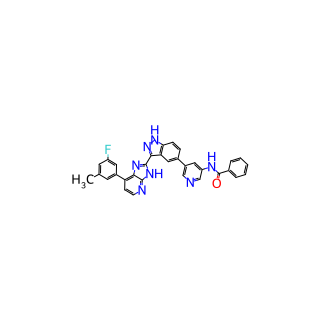 Cc1cc(F)cc(-c2ccnc3[nH]c(-c4n[nH]c5ccc(-c6cncc(NC(=O)c7ccccc7)c6)cc45)nc23)c1